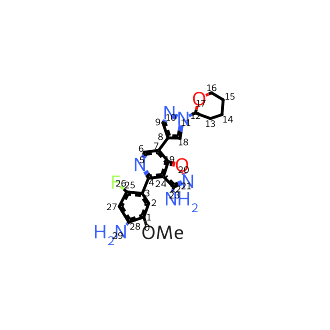 COc1cc(-c2ncc(-c3cnn(C4CCCCO4)c3)c3onc(N)c23)c(F)cc1N